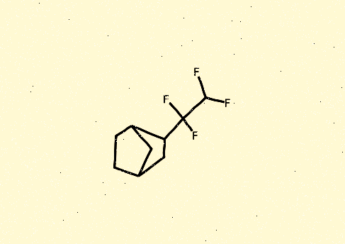 F[C](F)C(F)(F)C1CC2CCC1C2